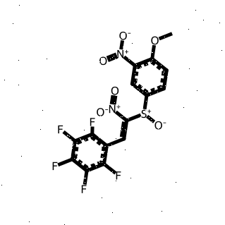 COc1ccc([S+]([O-])/C(=C/c2c(F)c(F)c(F)c(F)c2F)[N+](=O)[O-])cc1[N+](=O)[O-]